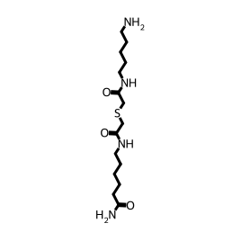 NCCCCCNC(=O)CSCC(=O)NCCCCCC(N)=O